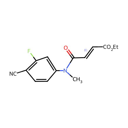 CCOC(=O)/C=C/C(=O)N(C)c1ccc(C#N)c(F)c1